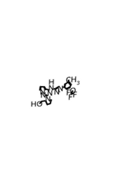 Cc1cc(OC(F)(F)F)cc(-n2cnc(Nc3nc(N4CCCC4CO)nn4cccc34)c2)c1